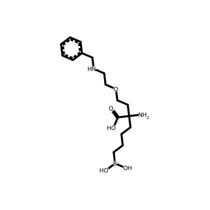 NC(CCCCB(O)O)(CCOCCNCc1ccccc1)C(=O)O